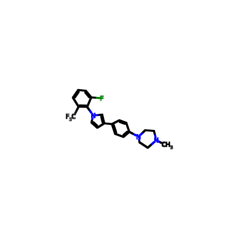 CN1CCN(c2ccc(-c3ccn(-c4c(F)cccc4C(F)(F)F)c3)cc2)CC1